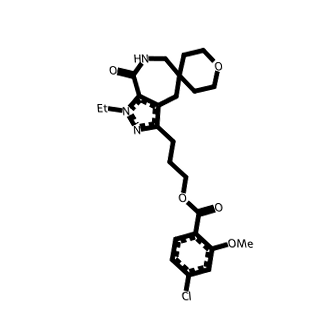 CCn1nc(CCCOC(=O)c2ccc(Cl)cc2OC)c2c1C(=O)NCC1(CCOCC1)C2